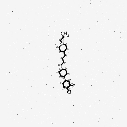 CCC[SiH]1CCC(CCCC[C@H]2CC[C@H](c3ccc(Cl)c(F)c3)CC2)CC1